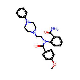 COc1ccc(C(=O)N(CCN2CCN(c3ccccc3)CC2)c2ccccc2C(N)=O)cc1